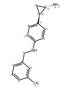 N#Cc1cccc(CNc2ccc([C@H]3C[C@@H]3N)cn2)c1